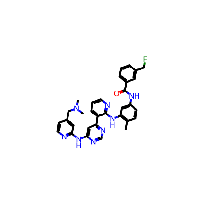 Cc1ccc(NC(=O)c2cccc(CF)c2)cc1Nc1ncccc1-c1cc(Nc2cc(CN(C)C)ccn2)ncn1